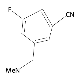 CNCc1cc(F)cc(C#N)c1